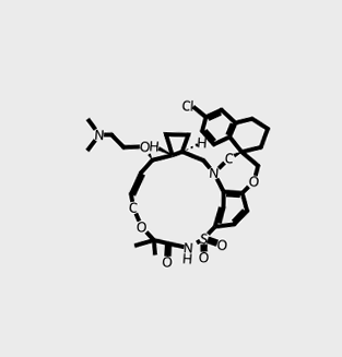 CN(C)CCO[C@H]1C=CCOC(C)(C)C(=O)NS(=O)(=O)c2ccc3c(c2)N(C[C@@H]2CC[C@H]21)C[C@@]1(CCCc2cc(Cl)ccc21)CO3